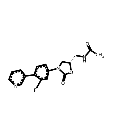 CC(=O)NC[C@H]1CN(c2ccc(-c3cccnc3)c(F)c2)C(=O)O1